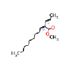 C/C=C/C(=C/CCCCCCCC)C(=O)OC